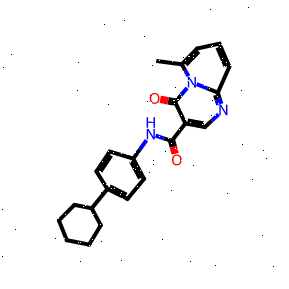 Cc1cccc2ncc(C(=O)Nc3ccc(C4CCCCC4)cc3)c(=O)n12